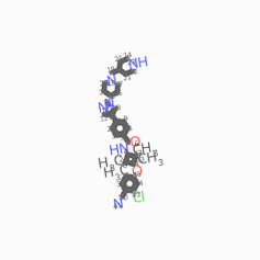 CC1(C)[C@H](NC(=O)c2ccc(-c3cnn(C4CCN(CC5CCNCC5)CC4)c3)cc2)C(C)(C)[C@H]1Oc1ccc(C#N)c(Cl)c1